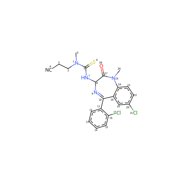 CN(CCC#N)C(=S)NC1N=C(c2ccccc2Cl)c2cc(Cl)ccc2N(C)C1=O